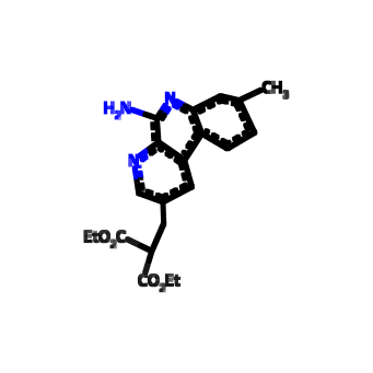 CCOC(=O)C(Cc1cnc2c(N)nc3cc(C)ccc3c2c1)C(=O)OCC